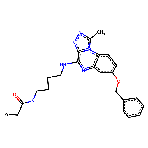 Cc1nnc2c(NCCCCNC(=O)CC(C)C)nc3cc(OCc4ccccc4)ccc3n12